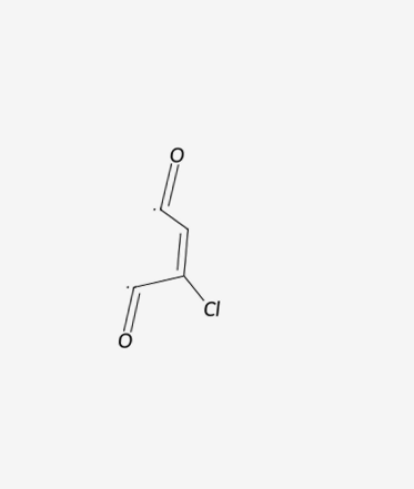 O=[C]/C=C(/Cl)[C]=O